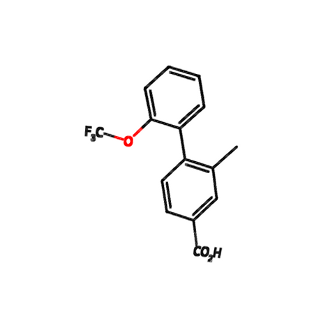 Cc1cc(C(=O)O)ccc1-c1ccccc1OC(F)(F)F